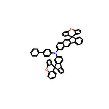 c1ccc(-c2ccc(N(c3ccc4c(c3)C3(c5ccccc5Oc5ccccc53)c3ccccc3-4)c3ccc4cc5c(cc4c3)-c3ccccc3C53c4ccccc4Oc4ccccc43)cc2)cc1